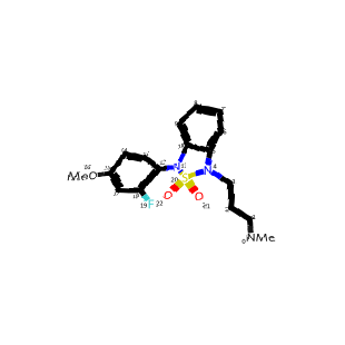 CNCCCN1c2ccccc2N(c2ccc(OC)cc2F)S1(=O)=O